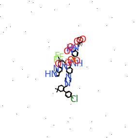 CC1(C)CCC(CN2CCN(c3ccc(C(=O)NS(=O)(=O)c4ccc(NC[C@@H]5COCCO5)c([N+](=O)[O-])c4)c(N4CC[C@H](C(F)(F)F)Oc5nc6[nH]ccc6cc54)c3)CC2)=C(c2ccc(Cl)cc2)C1